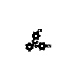 N#Cc1ccc(OP(=O)(Oc2ccc(C#N)cc2)c2ccccc2)cc1